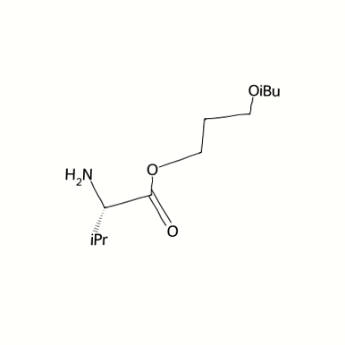 CC(C)COCCCOC(=O)[C@@H](N)C(C)C